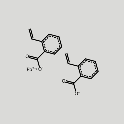 C=Cc1ccccc1C(=O)[O-].C=Cc1ccccc1C(=O)[O-].[Pb+2]